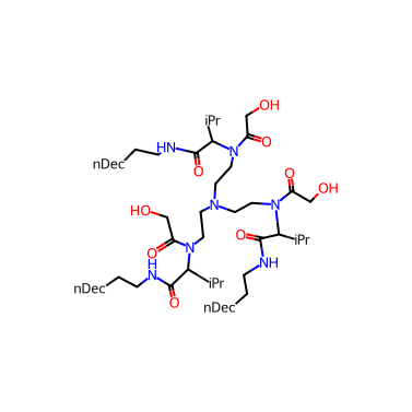 CCCCCCCCCCCCNC(=O)C(C(C)C)N(CCN(CCN(C(=O)CO)C(C(=O)NCCCCCCCCCCCC)C(C)C)CCN(C(=O)CO)C(C(=O)NCCCCCCCCCCCC)C(C)C)C(=O)CO